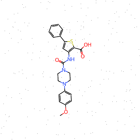 COc1ccc(N2CCN(C(=O)Nc3cc(-c4ccccc4)sc3C(=O)O)CC2)cc1